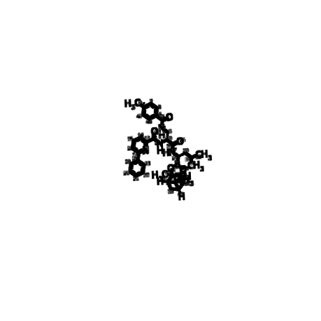 Cc1ccc(C(=O)NC[C@H](NC(=O)c2cccc(-c3ccccc3)n2)C(=O)N[C@@H](CC(C)C)B2O[C@@H]3C[C@@H]4C[C@@H](C4(C)C)[C@]3(C)O2)cc1